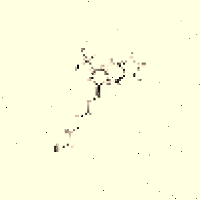 FC(F)(F)C1=C/C(=C\CCCCCCBr)c2cc3c(cc21)OCO3